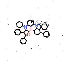 CC1(C)N2C3CCCC4C3B(C3CCC(C5C=CC=CC5)C(C32)C12CCCCC2)C1OC(C2=CC=CCC2)C(C2C=CC=CC2)C1N4C1CCCCC1